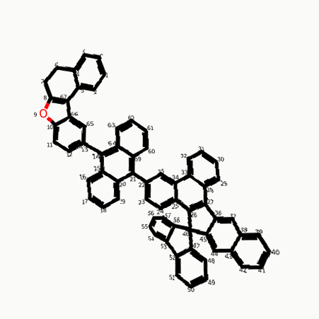 c1ccc2c(c1)CCc1oc3ccc(-c4c5ccccc5c(-c5ccc6c7c(c8ccccc8c6c5)-c5cc6ccccc6cc5C75c6ccccc6-c6ccccc65)c5ccccc45)cc3c1-2